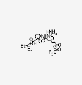 CCC(CC)CNC(=O)Cn1cccc(NC(=O)C(CCC=CC(=O)OC(=O)C(F)(F)F)NC(=O)C(C)N)c1=O